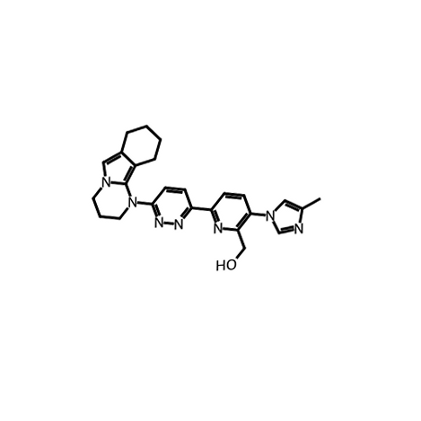 Cc1cn(-c2ccc(-c3ccc(N4CCCn5cc6c(c54)CCCC6)nn3)nc2CO)cn1